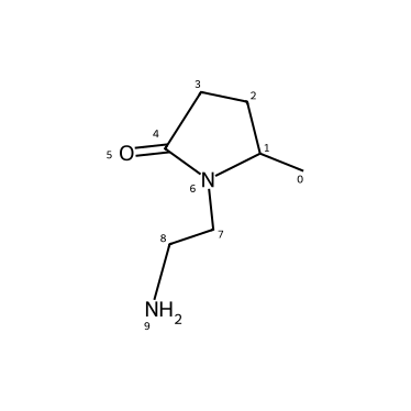 CC1CCC(=O)N1CCN